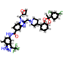 Cc1cc(NC(=O)c2ccc3c(c2)nc(CN2CC=C(c4cccc5c4OC(C)(c4ccc(Cl)cc4F)O5)CC2)n3C[C@@H]2CCO2)cc2c(C(F)(F)F)n[nH]c12